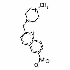 CN1CCN(Cc2ccc3cc([N+](=O)[O-])ccc3n2)CC1